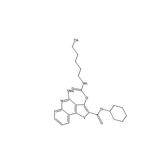 CSc1nc2ccccc2c2sc(C(=O)OC3CCCCC3)c(OC(=O)NCCCCCC#N)c12